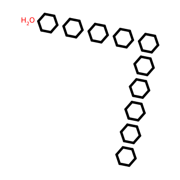 C1CCCCC1.C1CCCCC1.C1CCCCC1.C1CCCCC1.C1CCCCC1.C1CCCCC1.C1CCCCC1.C1CCCCC1.C1CCCCC1.C1CCCCC1.O